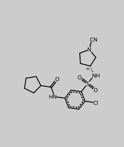 N#CN1CC[C@@H](NS(=O)(=O)c2cc(NC(=O)C3CCCC3)ccc2Cl)C1